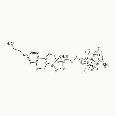 CCCOc1ccc2c(c1)CCC1C2CCC2(C)C(OCCCOC(C(C)(C)C)(C(C)(C)C)C(C)(C)C)CCC12